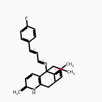 C=C1C=CC2=C(CC3C=C(C)CC2(/N=C/C=C/c2ccc(F)cc2)/C3=C/C)N1